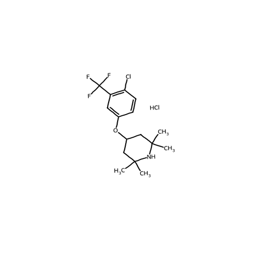 CC1(C)CC(Oc2ccc(Cl)c(C(F)(F)F)c2)CC(C)(C)N1.Cl